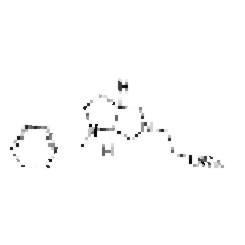 COCCN1C[C@@H]2CCN(Cc3ccccc3)[C@@H]2C1